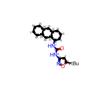 CC(C)(C)c1cc(NC(=O)Nc2cccc3cc4ccccc4cc23)no1